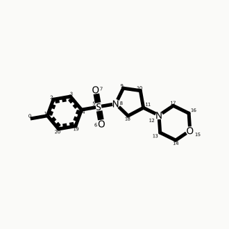 Cc1ccc(S(=O)(=O)N2CCC(N3CCOCC3)C2)cc1